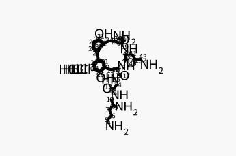 Cl.Cl.Cl.Cl.NCCC[C@H](N)CNC(=O)CNC(=O)[C@@H]1Cc2cc(ccc2O)-c2ccc(O)c(c2)C[C@H](N)C(=O)N[C@@H](CCCN)C(=O)N1